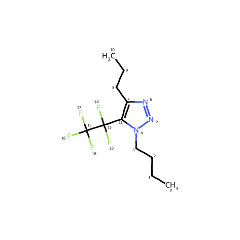 CCCCn1nnc(CCC)c1C(F)(F)C(F)(F)F